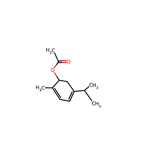 CC(=O)OC1CC(C(C)C)=CC=C1C